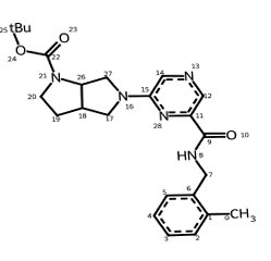 Cc1ccccc1CNC(=O)c1cncc(N2CC3CCN(C(=O)OC(C)(C)C)C3C2)n1